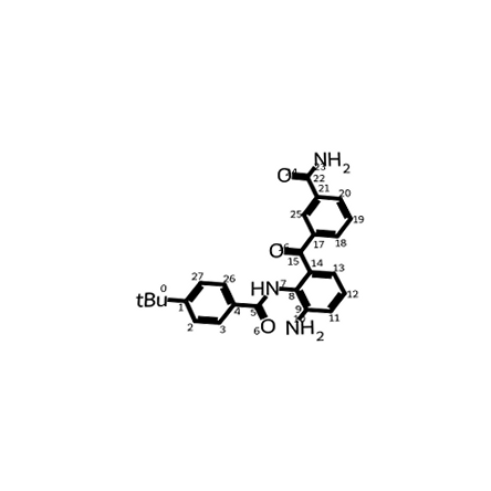 CC(C)(C)c1ccc(C(=O)Nc2c(N)cccc2C(=O)c2cccc(C(N)=O)c2)cc1